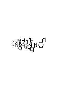 [2H]C1([2H])CN(c2cccc(Cl)c2)CC([2H])([2H])N1CCC([2H])([2H])n1nc2ccccn2c1=O